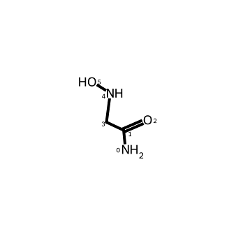 NC(=O)CNO